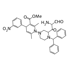 COC(=O)C1=C(C)N(N2CCN(C(c3ccccc3)c3ccccc3)C(C(=O)C(N)C=O)C2)C(C)=CC1c1cccc([N+](=O)[O-])c1